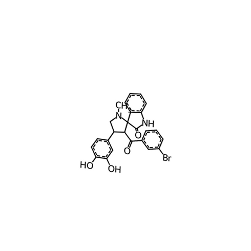 CN1CC(c2ccc(O)c(O)c2)C(C(=O)c2cccc(Br)c2)C12C(=O)Nc1ccccc12